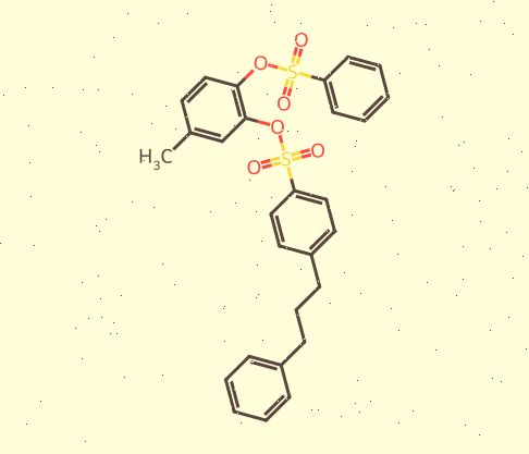 Cc1ccc(OS(=O)(=O)c2ccccc2)c(OS(=O)(=O)c2ccc(CCCc3ccccc3)cc2)c1